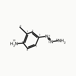 Cc1cc(N=NN)ccc1N